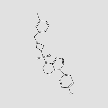 N#Cc1ccc(-c2cncc3c2SCCN3S(=O)(=O)C2CN(Cc3cccc(F)c3)C2)cc1